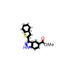 COC(=O)c1ccc2[nH]nc(-c3cc4ccccc4s3)c2c1